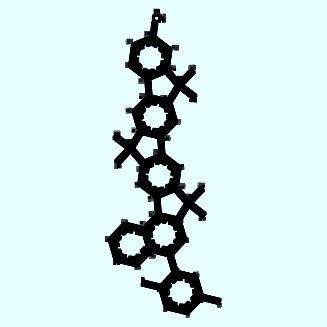 Cc1ccc(C)c(-c2cc3c(c4ccccc24)-c2cc4c(cc2C3(C)C)-c2cc3c(cc2C4(C)C)-c2ccc(C#N)cc2C3(C)C)c1